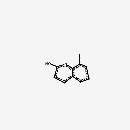 Cc1cccc2c[c]c(O)nc12